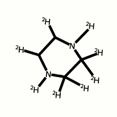 [2H]C1C([2H])N([2H])C([2H])([2H])C([2H])([2H])N1[2H]